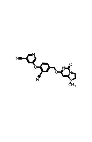 CN1CCn2c1cc(OCc1ccc(Oc3cncc(C#N)c3)c(C#N)c1)nc2=O